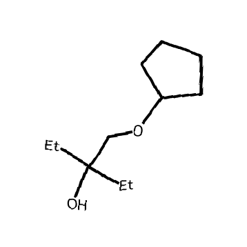 CCC(O)(CC)COC1CCCC1